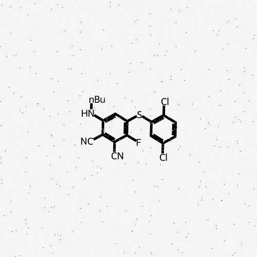 CCCCNc1cc(Sc2cc(Cl)ccc2Cl)c(F)c(C#N)c1C#N